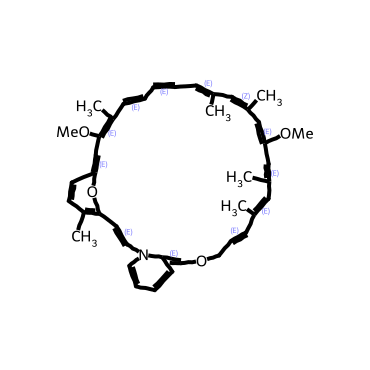 COC1=C/C(C)=C\C(C)=C\C=C\C=C\C(C)=C(OC)/C=C2\C=CC(C)=C(/C=C/N3C=CC=C/C3=C\OC\C=C\C(C)=C\C(C)=C\1)O2